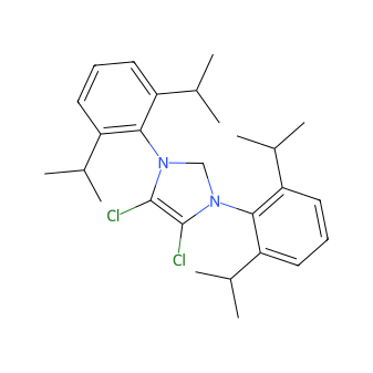 CC(C)c1cccc(C(C)C)c1N1CN(c2c(C(C)C)cccc2C(C)C)C(Cl)=C1Cl